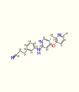 Cc1ccc(Oc2ccnc(Nc3cccc(CCC#N)c3)c2)c(C)n1